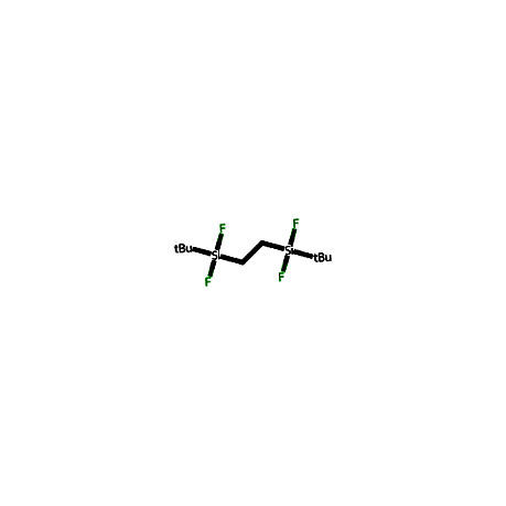 CC(C)(C)[Si](F)(F)CC[Si](F)(F)C(C)(C)C